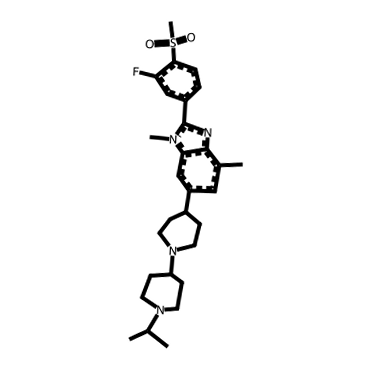 Cc1cc(C2CCN(C3CCN(C(C)C)CC3)CC2)cc2c1nc(-c1ccc(S(C)(=O)=O)c(F)c1)n2C